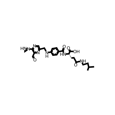 CC(C)CCNC(=O)CC[C@H](NC(=O)c1ccc(NCc2cnc(N3CN3)c(C=O)n2)cc1)C(=O)O